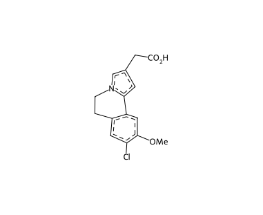 COc1cc2c(cc1Cl)CCn1cc(CC(=O)O)cc1-2